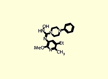 CCc1cc(N=C(NO)N2CCN(c3ccccc3)CC2)c(OC)nc1C